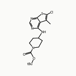 Cc1c(Cl)sc2ncnc(NC3CCN(C(=O)OC(C)(C)C)CC3)c12